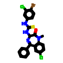 CN1C(=O)C(NC(=S)Nc2ccc(Br)c(Cl)c2)N=C(c2ccccc2)c2cc(Cl)ccc21